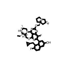 CC[C@@H]1N[C@H](C)CN2c3nc(OC[C@@]45CCCN4C[C@H](F)C5)nc4c(F)c(-c5cc(O)cc6ccc(F)c(CC7CC7)c56)nc(c34)OC[C@H]12